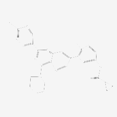 Nc1ncc(-c2nc(N3CCOCC3)c3ncc(-c4cc(NC(=O)C5CC5)ccc4F)cc3n2)cn1